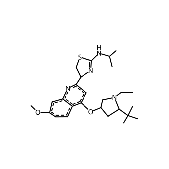 CCN1CC(Oc2cc(C3CSC(NC(C)C)=N3)nc3cc(OC)ccc23)CC1C(C)(C)C